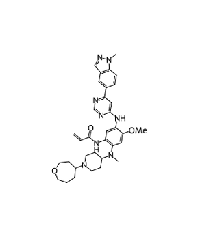 C=CC(=O)Nc1cc(Nc2cc(-c3ccc4c(cnn4C)c3)ncn2)c(OC)cc1N(C)C1CCN(C2CCCOCC2)CC1